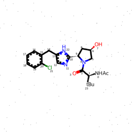 CC(=O)N[C@H](C(=O)N1C[C@H](O)C[C@H]1c1ncc(Cc2ccccc2Cl)[nH]1)C(C)(C)C